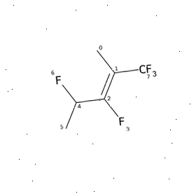 CC(=C(F)C(C)F)C(F)(F)F